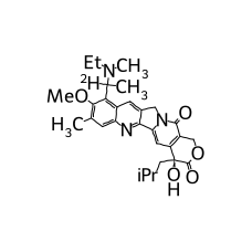 [2H]C(C)(c1c(OC)c(C)cc2nc3c(cc12)Cn1c-3cc2c(c1=O)COC(=O)[C@]2(O)CC(C)C)N(C)CC